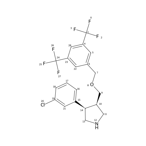 FC(F)(F)c1cc(COC[C@H]2CNC[C@H]2c2cccc(Cl)c2)cc(C(F)(F)F)c1